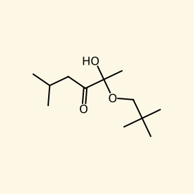 CC(C)CC(=O)C(C)(O)OCC(C)(C)C